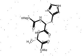 CCCCCCCC(=O)N[C@H](Cc1c[nH]cn1)C(=O)N[C@@H](C)C(=O)OC